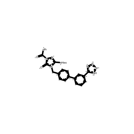 CCCCCCc1nn(C(=O)CCC)c(=O)n1Cc1ccc(-c2cccc(-c3nnn[nH]3)c2)cc1